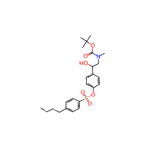 CCCCc1ccc(S(=O)(=O)Oc2ccc(C(O)CN(C)C(=O)OC(C)(C)C)cc2)cc1